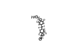 Cc1cc(C(C)(C)c2cc(C)c(OCCO)c(C)c2)cc(C)c1OCC=O